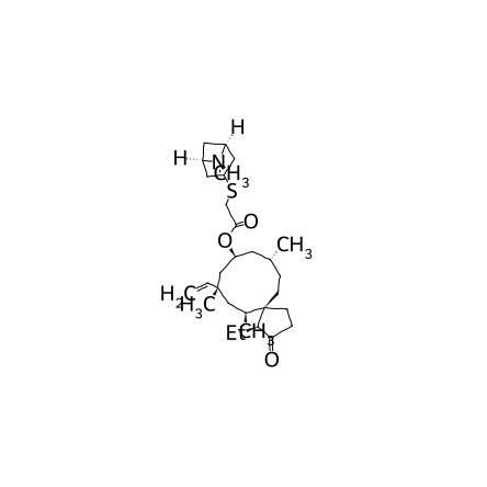 C=C[C@]1(C)C[C@@H](OC(=O)CSC2C[C@@H]3C[C@H](C2)N3C)C[C@H](C)CC[C@]2(CCC(=O)[C@H]2CC)[C@@H](C)C1